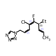 C/C=C/[C@H](CC)/C(F)=C(Cl)\C=C/Cn1cnnn1